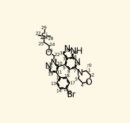 C[C@@H]1COCCN1c1cc(-c2c(-c3ccc(Br)cc3)cnn2COCC[Si](C)(C)C)c2cn[nH]c2n1